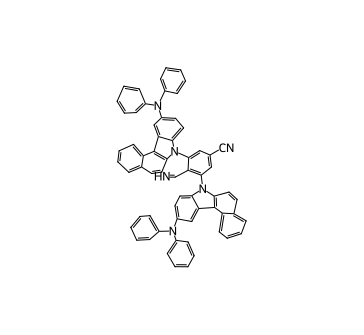 N#Cc1cc(-n2c3ccc(N(c4ccccc4)c4ccccc4)cc3c3c4ccccc4ccc32)c(C=N)c(-n2c3ccc(N(c4ccccc4)c4ccccc4)cc3c3c4ccccc4ccc32)c1